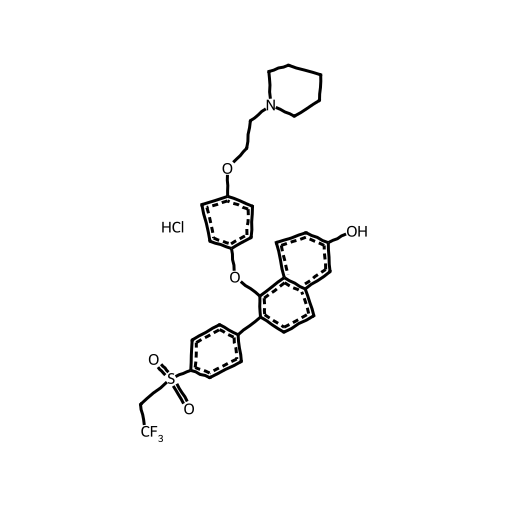 Cl.O=S(=O)(CC(F)(F)F)c1ccc(-c2ccc3cc(O)ccc3c2Oc2ccc(OCCN3CCCCC3)cc2)cc1